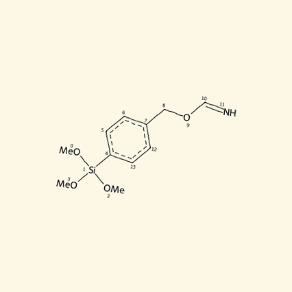 CO[Si](OC)(OC)c1ccc(COC=N)cc1